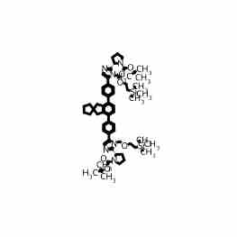 CC(C)(C)OC(=O)N1CCC[C@H]1c1ncc(-c2ccc(-c3ccc(-c4ccc(-c5cnc([C@@H]6CCCN6C(=O)OC(C)(C)C)n5COCC[Si](C)(C)C)cc4)c4c3CC3(CCCC3)C4)cc2)n1COCC[Si](C)(C)C